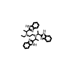 CCN(CCN(C(C)c1nc2ccccc2[nH]1)C(C)c1nc2ccccc2[nH]1)C(C)c1nc2ccccc2[nH]1